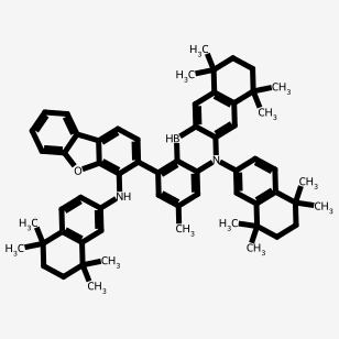 Cc1cc(-c2ccc3c(oc4ccccc43)c2Nc2ccc3c(c2)C(C)(C)CCC3(C)C)c2c(c1)N(c1ccc3c(c1)C(C)(C)CCC3(C)C)c1cc3c(cc1B2)C(C)(C)CCC3(C)C